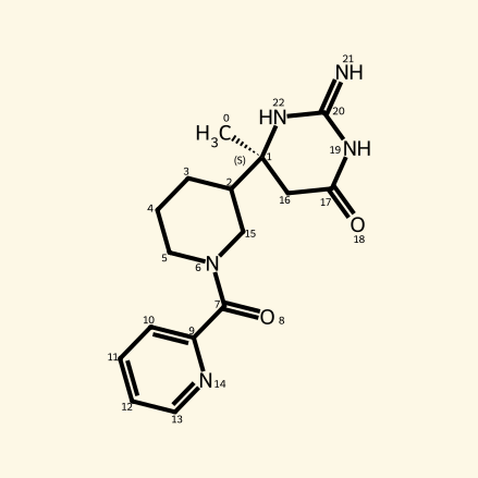 C[C@@]1(C2CCCN(C(=O)c3ccccn3)C2)CC(=O)NC(=N)N1